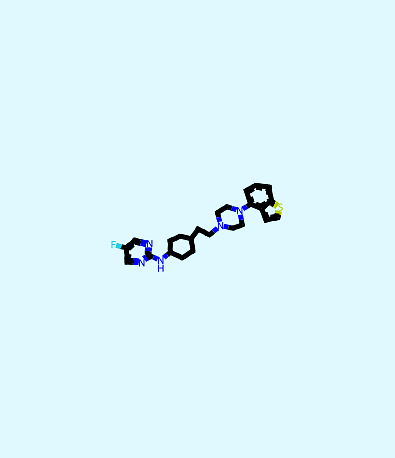 Fc1cnc(NC2CCC(CCN3CCN(c4cccc5sccc45)CC3)CC2)nc1